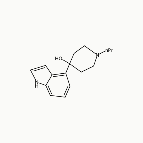 CCCN1CCC(O)(c2cccc3[nH]ccc23)CC1